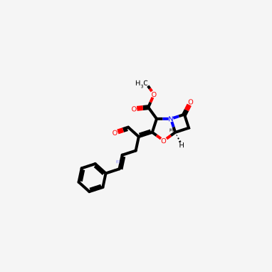 COC(=O)C1C(=C(C=O)C/C=C/c2ccccc2)O[C@@H]2CC(=O)N12